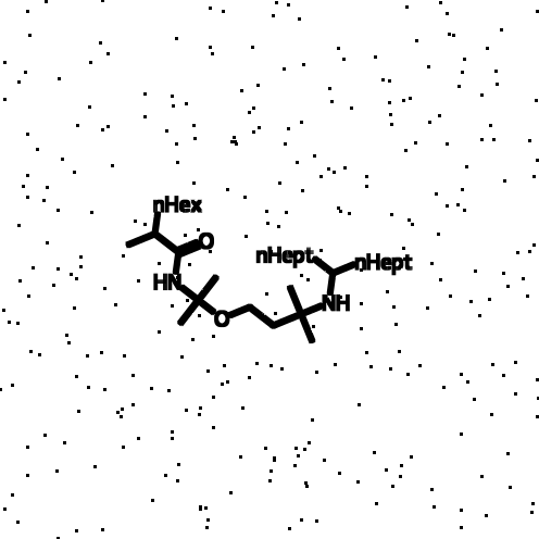 CCCCCCCC(CCCCCCC)NC(C)(C)CCOC(C)(C)NC(=O)C(C)CCCCCC